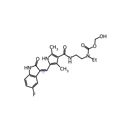 CCN(CCNC(=O)c1c(C)[nH]c(/C=C2\C(=O)Nc3ccc(F)cc32)c1C)C(=O)OCO